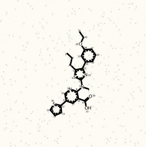 CCCc1sc(N(C)c2ncc(-c3cccs3)cc2C(=O)O)nc1-c1cccc(OCC)c1